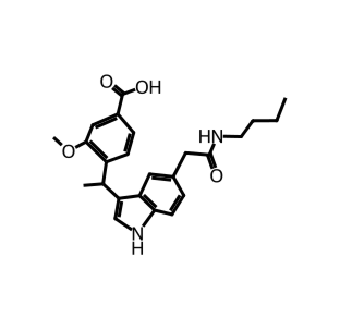 CCCCNC(=O)Cc1ccc2[nH]cc(C(C)c3ccc(C(=O)O)cc3OC)c2c1